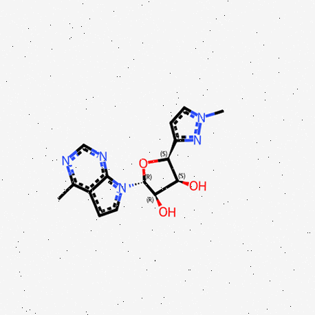 Cc1ncnc2c1ccn2[C@@H]1O[C@@H](c2ccn(C)n2)[C@@H](O)[C@H]1O